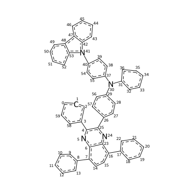 c1ccc(-c2nc3c(-c4ccccc4)ccc(-c4ccccc4)c3nc2-c2ccc(N(c3ccccc3)c3ccc(-n4c5ccccc5c5ccccc54)cc3)cc2)cc1